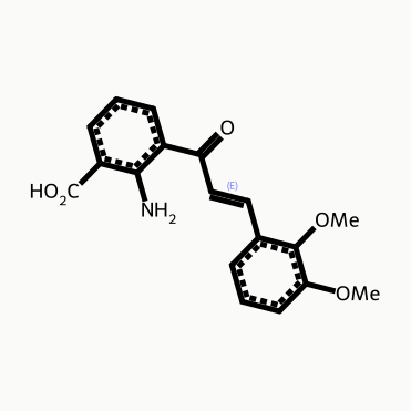 COc1cccc(/C=C/C(=O)c2cccc(C(=O)O)c2N)c1OC